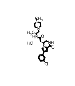 C[C@@H](CN1CCN(C)CC1)NC(=O)C[C@H]1CNC(=O)c2cc(-c3cccc(Cl)c3)cn21.Cl